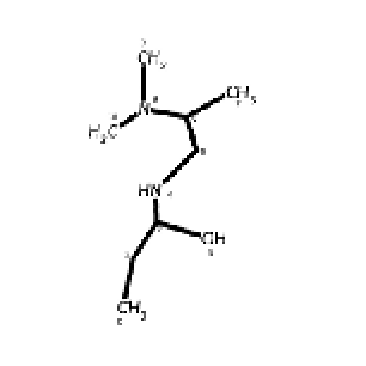 CCC(O)NCC(C)N(C)C